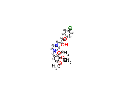 COc1ccc(CN2CCN(CC(O)COc3ccc(Cl)cc3)CC2)c(OC)c1OC